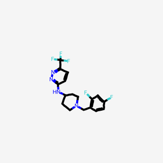 Fc1ccc(CN2CCC(Nc3ccc(C(F)(F)F)nn3)CC2)c(F)c1